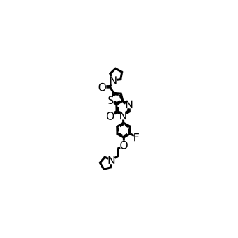 O=C(c1cc2ncn(-c3ccc(OCCN4CCCC4)c(F)c3)c(=O)c2s1)N1CCCC1